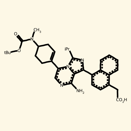 CC(C)c1nc(-c2ccc(CC(=O)O)c3ccccc23)c2c(N)ncc(C3=CCC(N(C)C(=O)OC(C)(C)C)CC3)n12